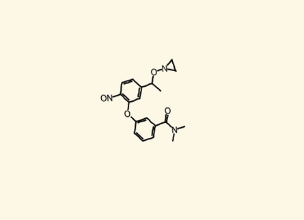 CC(ON1CC1)c1ccc(N=O)c(Oc2cccc(C(=O)N(C)C)c2)c1